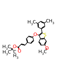 COc1ccc2c(Oc3ccc(C=CC(=O)OC(C)(C)C)cc3)c(-c3cc(C)cc(C)c3)sc2c1